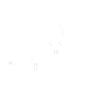 CC(C(=O)O)C(=O)Nc1ccc(Nc2ncc3cnn(-c4cccc5ccccc45)c3n2)cc1